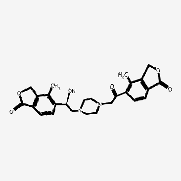 Cc1c(C(=O)CN2CCN(C[C@H](O)c3ccc4c(c3C)COC4=O)CC2)ccc2c1COC2=O